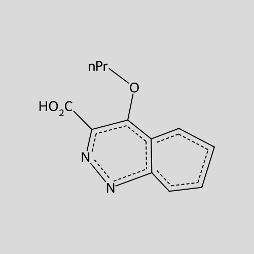 CCCOc1c(C(=O)O)nnc2ccccc12